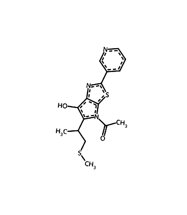 CSCC(C)c1c(O)c2nc(-c3cccnc3)sc2n1C(C)=O